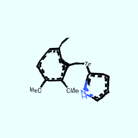 COc1ccc(C)c([Te]c2ccc[nH]2)c1OC